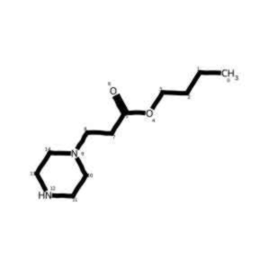 CCCCOC(=O)CCN1CCNCC1